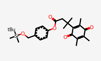 CC1=C(C)C(=O)C(C(C)(C)CC(=O)Oc2ccc(CO[Si](C)(C)C(C)(C)C)cc2)=C(C)C1=O